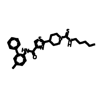 CCCCCNC(=S)N1CCC(c2nc(C(=O)Nc3ccc(C)cc3-c3ccccc3)cs2)CC1